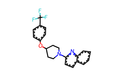 FC(F)(F)c1ccc(OC2CCN(c3ccc4ccccc4n3)CC2)cc1